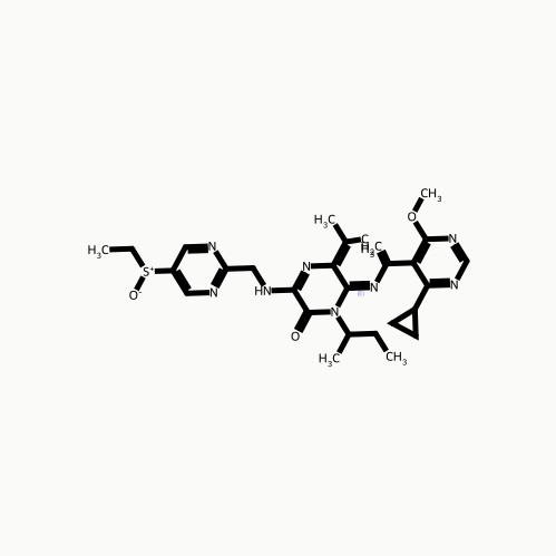 C=C(/N=C1\C(=C(C)C)N=C(NCc2ncc([S+]([O-])CC)cn2)C(=O)N1C(C)CC)c1c(OC)ncnc1C1CC1